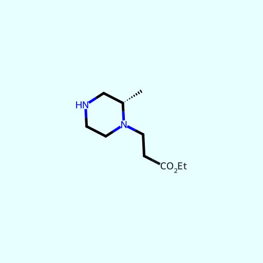 CCOC(=O)CCN1CCNC[C@@H]1C